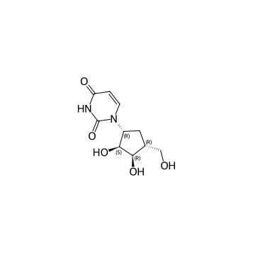 O=c1ccn([C@@H]2C[C@H](CO)[C@@H](O)[C@H]2O)c(=O)[nH]1